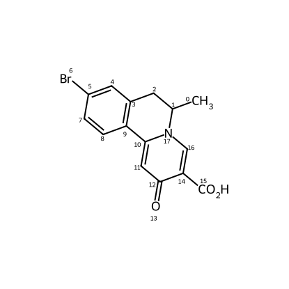 CC1Cc2cc(Br)ccc2-c2cc(=O)c(C(=O)O)cn21